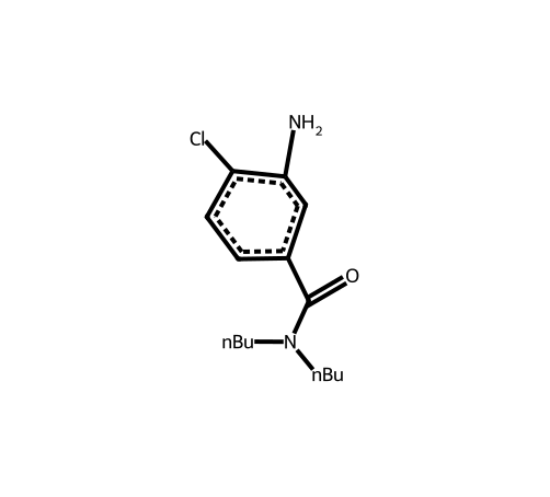 CCCCN(CCCC)C(=O)c1ccc(Cl)c(N)c1